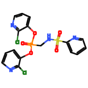 O=P(CNS(=O)(=O)c1ccccn1)(Oc1cccnc1Cl)Oc1cccnc1Cl